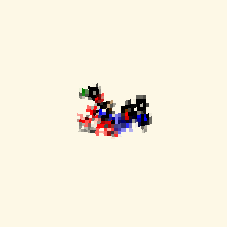 CC(C)(C)C(=O)OCOC(=O)C1=C(COc2cccc(F)c2)CS[C@@H]2C(NC(=O)/C(=N\O)c3csc(NC(c4ccccc4)(c4ccccc4)c4ccccc4)n3)C(=O)N12